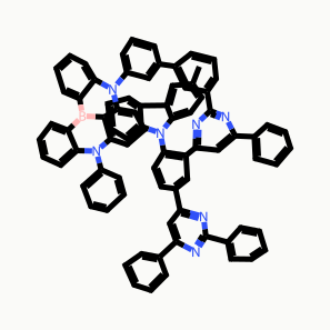 Cc1ccc2c(c1)c1ccccc1n2-c1ccc(-c2cc(-c3ccccc3)nc(-c3ccccc3)n2)cc1-c1cc(-c2ccccc2)nc(-c2cccc(-c3cccc(N4c5ccccc5B5c6ccccc6N(c6ccccc6)c6cccc4c65)c3)c2)n1